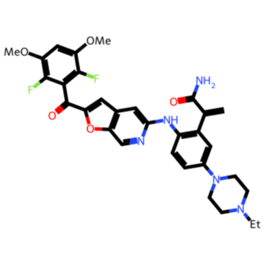 C=C(C(N)=O)c1cc(N2CCN(CC)CC2)ccc1Nc1cc2cc(C(=O)c3c(F)c(OC)cc(OC)c3F)oc2cn1